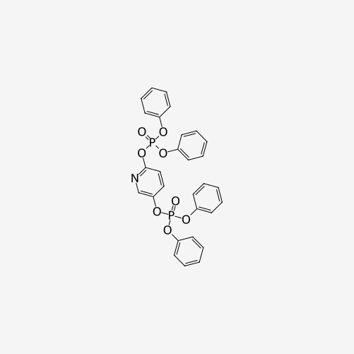 O=P(Oc1ccccc1)(Oc1ccccc1)Oc1ccc(OP(=O)(Oc2ccccc2)Oc2ccccc2)nc1